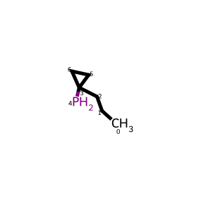 CCCC1(P)CC1